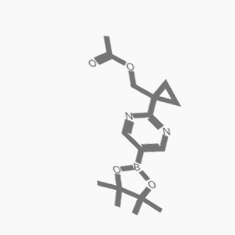 CC(=O)OCC1(c2ncc(B3OC(C)(C)C(C)(C)O3)cn2)CC1